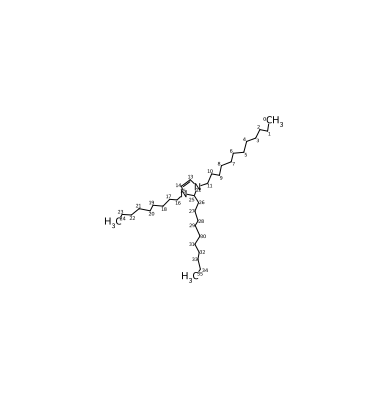 CCCCCCCCCCCCN1C=CN(CCCCCCCCC)C1CCCCCCCCCC